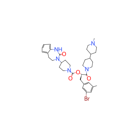 Cc1cc(Br)cc(C[C@@H](OC(=O)N2CCC(N3CCc4ccccc4NC3=O)CC2)C(=O)N2CCC(C3CCN(C)CC3)CC2)c1